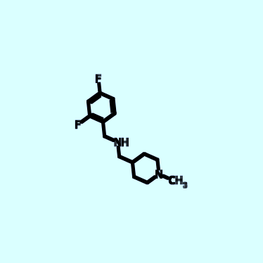 CN1CCC(CNCc2ccc(F)cc2F)CC1